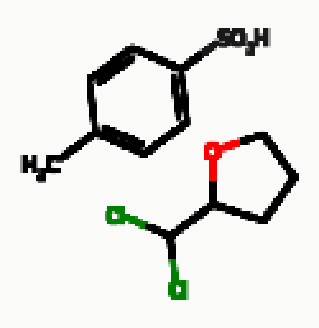 Cc1ccc(S(=O)(=O)O)cc1.ClC(Cl)C1CCCO1